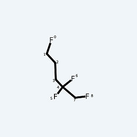 FCCCC(F)(F)CF